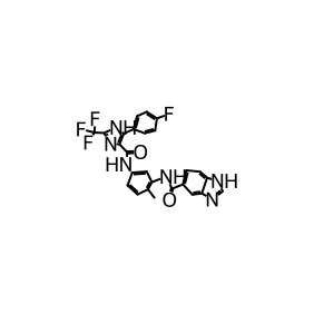 Cc1ccc(NC(=O)c2nc(C(F)(F)F)[nH]c2-c2ccc(F)cc2)cc1NC(=O)c1ccc2[nH]cnc2c1